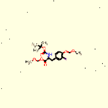 COCOC(=O)C(Cc1ccc(OCOC)c(I)c1)NC(=O)OC(C)(C)C